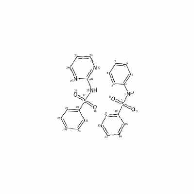 O=S(=O)(Nc1ccccc1)c1ccccc1.O=S(=O)(Nc1ncccn1)c1ccccc1